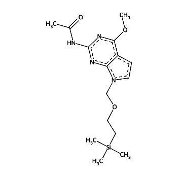 COc1nc(NC(C)=O)nc2c1ccn2COCC[Si](C)(C)C